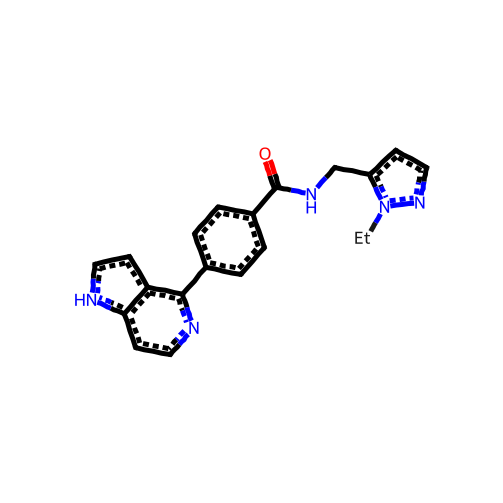 CCn1nccc1CNC(=O)c1ccc(-c2nccc3[nH]ccc23)cc1